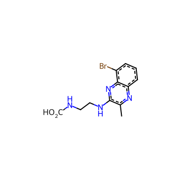 Cc1nc2cccc(Br)c2nc1NCCNC(=O)O